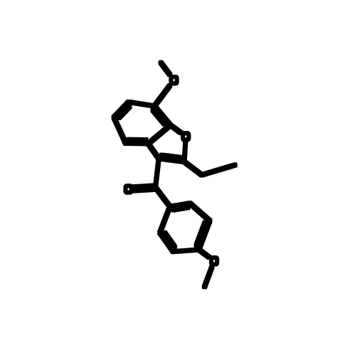 CCc1oc2c(OC)cccc2c1C(=O)c1ccc(OC)cc1